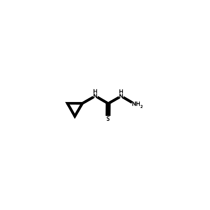 NNC(=S)NC1CC1